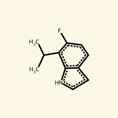 CC(C)c1c(F)ccc2cc[nH]c12